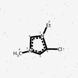 CCn1c[n+](C)cc1Cl